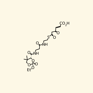 CCOP1(=O)OCC(C)(C)[C@H](C(=O)NCCC(=O)NCCSC(=O)CC(=O)/C=C/C(=O)O)O1